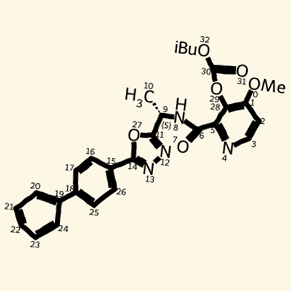 COc1ccnc(C(=O)N[C@@H](C)c2nnc(-c3ccc(-c4ccccc4)cc3)o2)c1OC(=O)OCC(C)C